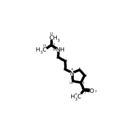 CC(=O)C1CCN(CCCNC(C)C)C1